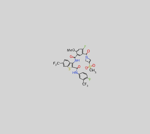 COc1cc(F)c(C(=O)N2CC(S(C)(=O)=O)C2)cc1C(=O)Nc1c(C(=O)Nc2ccc(F)c(C(F)(F)F)c2)sc2cc(C(F)(F)F)ccc12